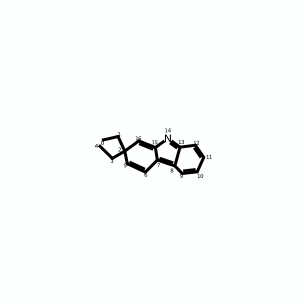 CCC1(CC)C=CC2=c3ccccc3=NC2=C1